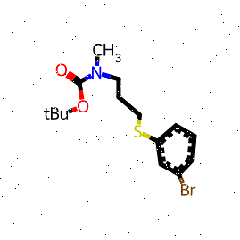 CN(CCCSc1cccc(Br)c1)C(=O)OC(C)(C)C